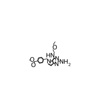 CCOCCNc1nc(N)nc2ccn(Cc3ccc(C(=O)OC)cc3)c12